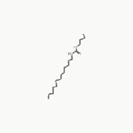 CCCCCCCCCCCCCNC(=S)NCCCC